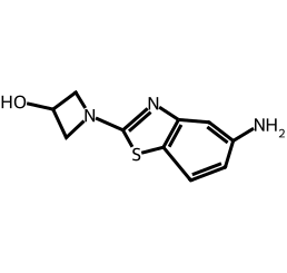 Nc1ccc2sc(N3CC(O)C3)nc2c1